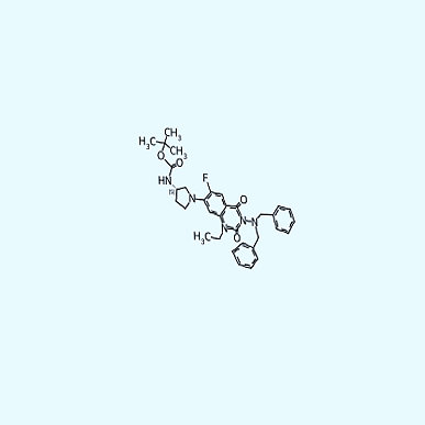 CCn1c(=O)n(N(Cc2ccccc2)Cc2ccccc2)c(=O)c2cc(F)c(N3CC[C@H](NC(=O)OC(C)(C)C)C3)cc21